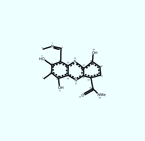 C/N=C\c1c(O)c(C)c(O)c2nc3c(C(=O)NC)ccc(O)c3nc12